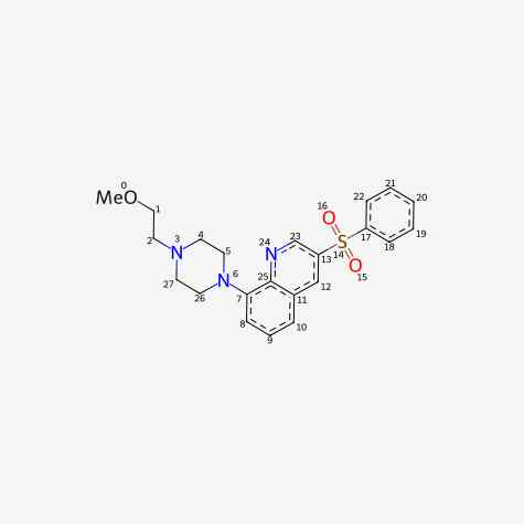 COCCN1CCN(c2cccc3cc(S(=O)(=O)c4ccccc4)cnc23)CC1